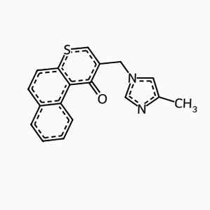 Cc1cn(Cc2csc3ccc4ccccc4c3c2=O)cn1